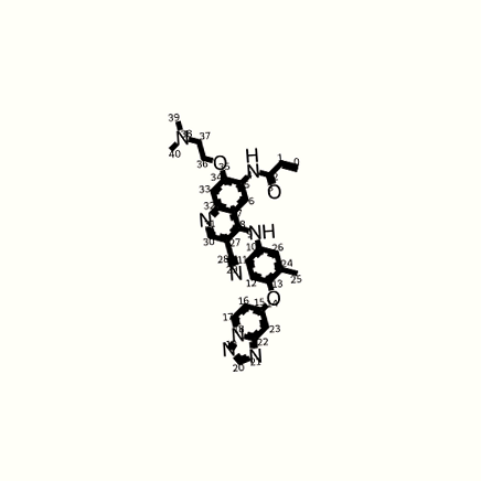 C=CC(=O)Nc1cc2c(Nc3ccc(Oc4ccn5ncnc5c4)c(C)c3)c(C#N)cnc2cc1OCCN(C)C